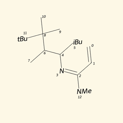 C=C/C(=N\C(C(C)CC)C(C)C(C)(C)C(C)(C)C)NC